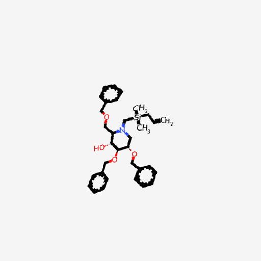 C=CC[Si](C)(C)CN1C[C@H](OCc2ccccc2)[C@@H](OCc2ccccc2)[C@H](O)C1COCc1ccccc1